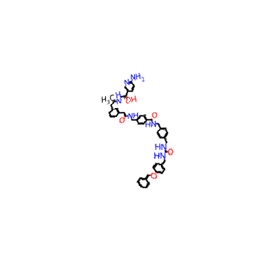 C[C@H](Cc1cccc(CC(=O)NCc2ccc(C(=O)NCc3ccc(CNC(=O)NCc4ccc(OCc5ccccc5)cc4)cc3)cc2)c1)NC[C@H](O)c1ccc(N)nc1